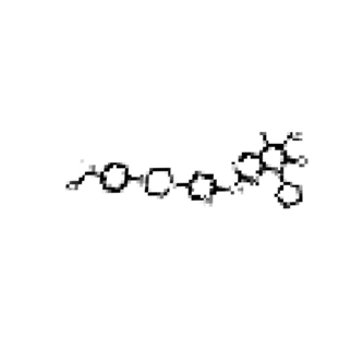 CC(=O)c1c(C)c2cnc(Nc3ccc(N4CCN(c5ccc([C@@H](C)Cl)cc5)CC4)cn3)nc2n(C2CCCC2)c1=O